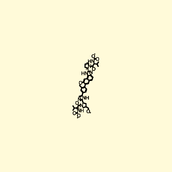 COCC1CC(c2ncc(-c3ccc4c(c3)COc3cc5c(ccc6nc([C@@H]7CC[C@H](C)N7C(=O)C(NC(=O)OC)C(C)C)[nH]c65)cc3-4)[nH]2)N(C(=O)[C@@H](NC(=O)OC)C(C)C)C1